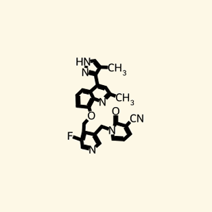 Cc1cc(-c2n[nH]cc2C)c2cccc(OCc3c(F)cncc3Cn3cccc(C#N)c3=O)c2n1